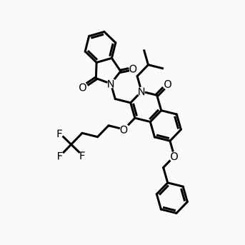 CC(C)Cn1c(CN2C(=O)c3ccccc3C2=O)c(OCCCC(F)(F)F)c2cc(OCc3ccccc3)ccc2c1=O